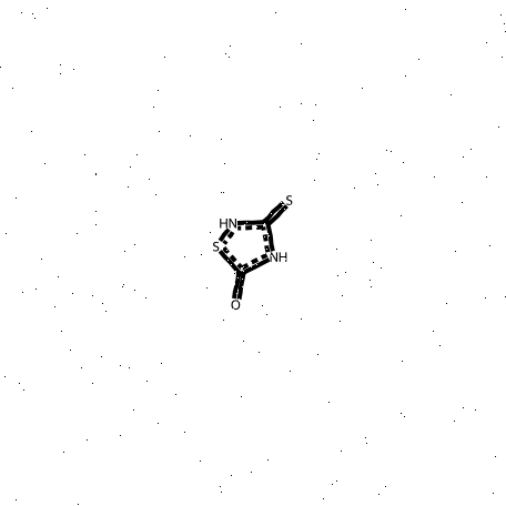 O=c1[nH]c(=S)[nH]s1